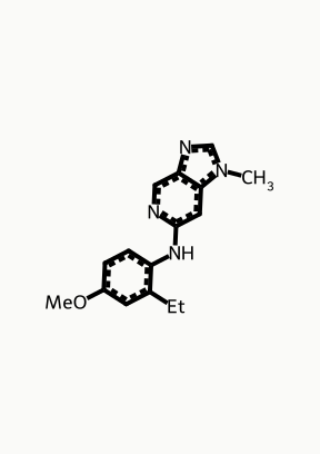 CCc1cc(OC)ccc1Nc1cc2c(cn1)ncn2C